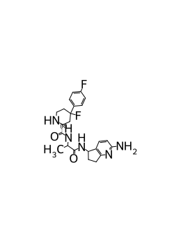 CC(NC(=O)[C@H]1CC(F)(c2ccc(F)cc2)CCN1)C(=O)NC1CCc2nc(N)ccc21